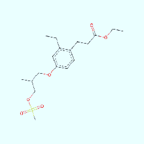 CCOC(=O)CCc1ccc(OCC(C)COS(C)(=O)=O)cc1CC